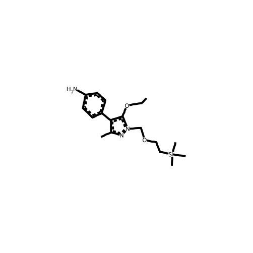 CCOc1c(-c2ccc(N)cc2)c(C)nn1COCC[Si](C)(C)C